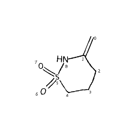 C=C1CCCS(=O)(=O)N1